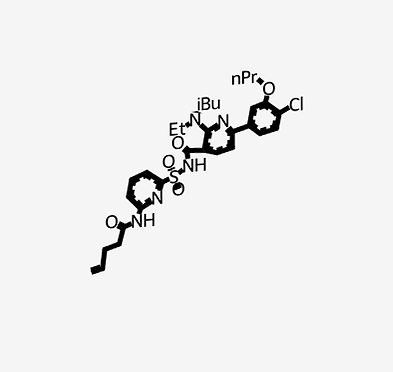 C=CCCC(=O)Nc1cccc(S(=O)(=O)NC(=O)c2ccc(-c3ccc(Cl)c(OCCC)c3)nc2N(CC)[C@H](C)CC)n1